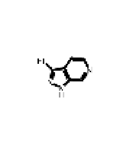 CCc1n[nH]c2cnccc12